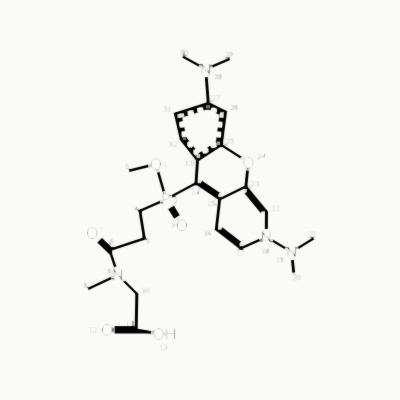 COP(=O)(CCC(=O)N(C)CC(=O)O)C1=C2C=CN(N(C)C)C=C2Oc2cc(N(C)C)ccc21